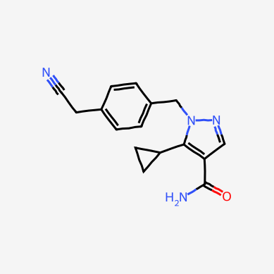 N#CCc1ccc(Cn2ncc(C(N)=O)c2C2CC2)cc1